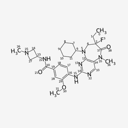 CCC1(F)CN(C2CCCCC2)c2nc(Nc3ccc(C(=O)NC4CN(C)C4)cc3OC)ncc2N(C)C1=O